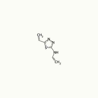 C=CNc1nnc(C=C)s1